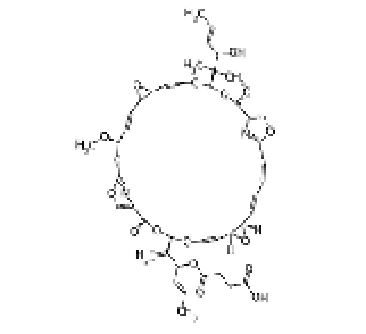 C=C([C@H](/C=C/C)OC(=O)CCC(=O)O)[C@@H]1C/C=C\[C@H]2O[C@H]2/C=C/C=C\c2nc(co2)C(=O)O[C@H](C(C)(C)[C@@H](O)/C=C/C)C/C=C\C2OC2/C=C/[C@H](OC)Cc2nc(co2)C(=O)O1